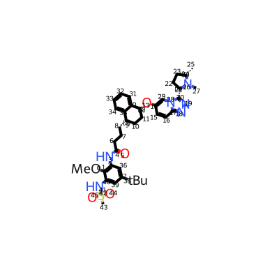 COc1c(NC(=O)CCC[C@H]2CC[C@@H](Oc3ccc4nnc([C@@H]5CC[C@H](C)N5C)n4c3)c3ccccc32)cc(C(C)(C)C)cc1NS(C)(=O)=O